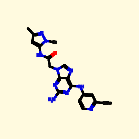 CCn1nc(C)cc1NC(=O)Cn1cnc2c(Nc3ccnc(OC)c3)nc(N)nc21